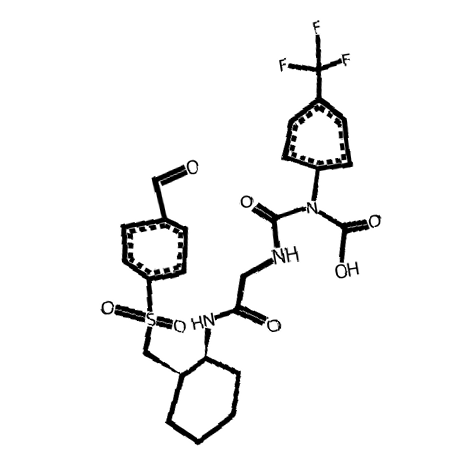 O=Cc1ccc(S(=O)(=O)C[C@@H]2CCCC[C@@H]2NC(=O)CNC(=O)N(C(=O)O)c2ccc(C(F)(F)F)cc2)cc1